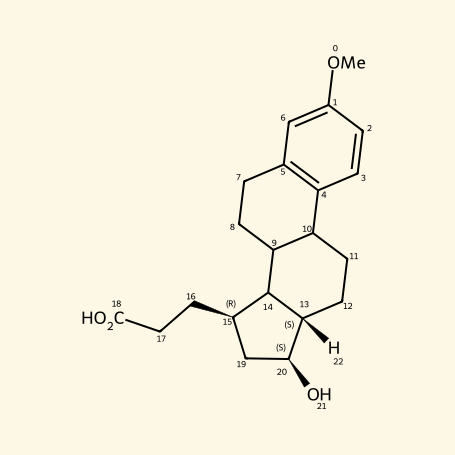 COc1ccc2c(c1)CCC1C2CC[C@H]2C1[C@H](CCC(=O)O)C[C@@H]2O